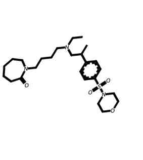 CCN(CCCCN1CCCCCC1=O)CC(C)c1ccc(S(=O)(=O)N2CCOCC2)cc1